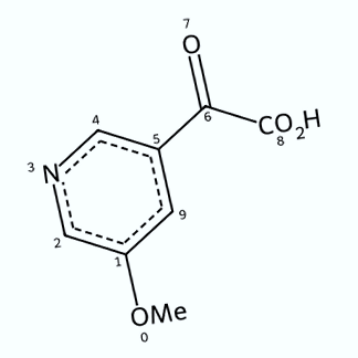 COc1cncc(C(=O)C(=O)O)c1